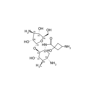 C[C@H]1[C@H](O)[C@@H](O[C@H]2O[C@H](CO)[C@@H](O)[C@H](N)[C@H]2O)[C@H](NC(=O)C2(O)CC(N)C2)C[C@@H]1N